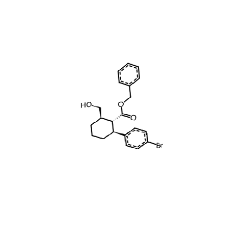 O=C(OCc1ccccc1)[C@H]1[C@H](CO)CCC[C@@H]1c1ccc(Br)cc1